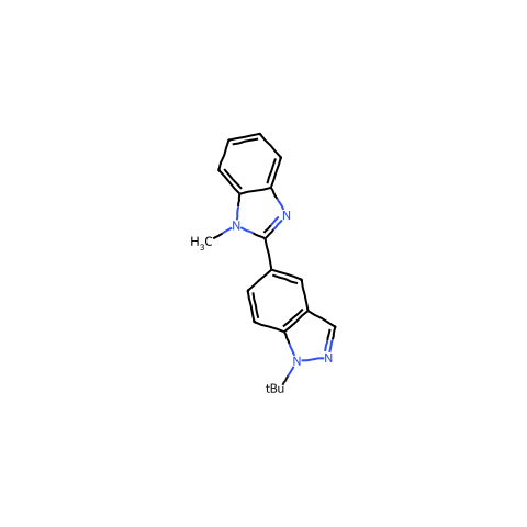 Cn1c(-c2ccc3c(cnn3C(C)(C)C)c2)nc2ccccc21